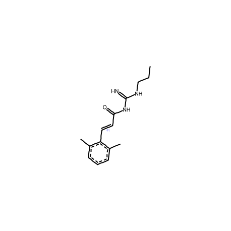 CCCNC(=N)NC(=O)/C=C/c1c(C)cccc1C